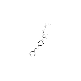 CNC(=O)OCc1cc(-c2ccc(OCc3ccccc3)cc2)no1